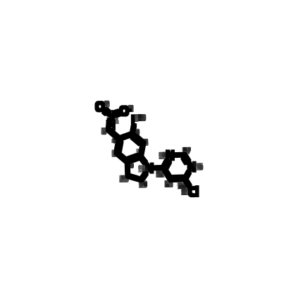 O=[SH](=O)Cc1cc2c(cc1F)N(c1cc(Cl)ncn1)CC2